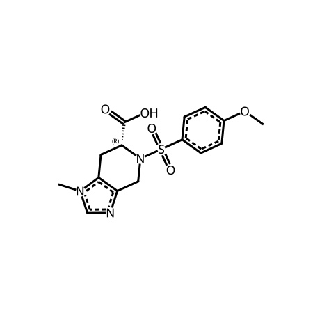 COc1ccc(S(=O)(=O)N2Cc3ncn(C)c3C[C@@H]2C(=O)O)cc1